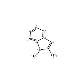 Cc1cc2cncnc2n1C